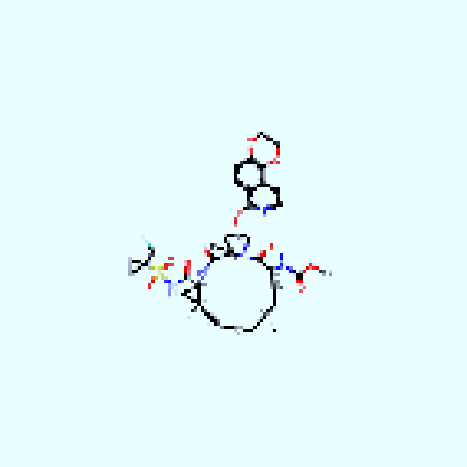 C[C@@H]1CC/C=C\[C@@H]2C[C@@]2(C(=O)NS(=O)(=O)C2(CF)CC2)NC(=O)[C@@H]2C[C@@H](Oc3nccc4c5c(ccc34)OCCO5)CN2C(=O)[C@@H](NC(=O)OC(C)(C)C)[C@H](C)C1